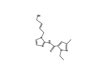 CCn1nc(C)cc1C(=O)Nc1nccn1C/C=C/CO